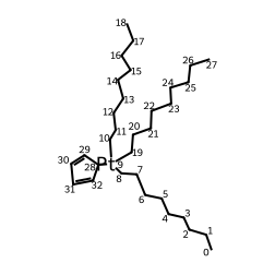 CCCCCCCC[CH2][Pt]([CH2]CCCCCCCC)([CH2]CCCCCCCC)[CH]1C=CC=C1